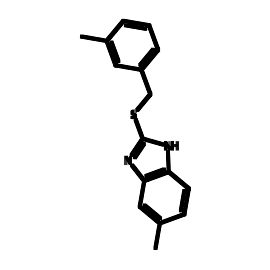 Cc1cccc(CSc2nc3cc(C)ccc3[nH]2)c1